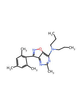 CCCN(CCC)c1nc(C)nc2c(-c3c(C)cc(C)cc3C)noc12